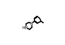 CC1C=C(N2CCNCC2)C=CC1